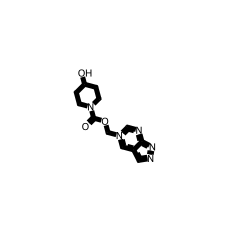 O=C(OCn1cnc2nncc-2c1)N1CCC(O)CC1